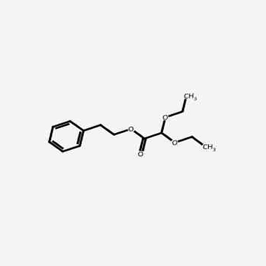 CCOC(OCC)C(=O)OCCc1ccccc1